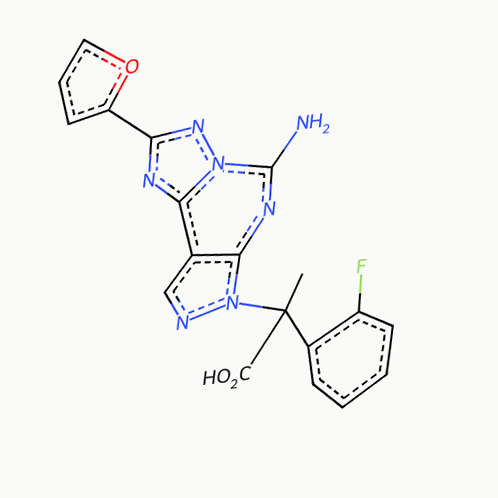 CC(C(=O)O)(c1ccccc1F)n1ncc2c1nc(N)n1nc(-c3ccco3)nc21